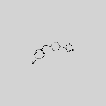 Brc1ccc(CN2CCC(n3ccnc3)CC2)cc1